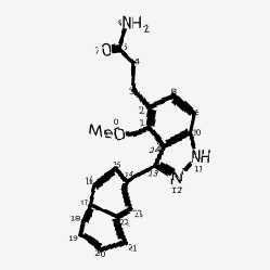 COc1c(CCC(N)=O)ccc2[nH]nc(-c3ccc4ccccc4c3)c12